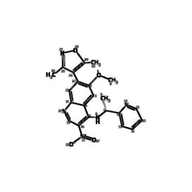 COc1cc2c(N[C@H](C)c3ccccn3)c([N+](=O)[O-])cnc2cc1-c1c(C)noc1C